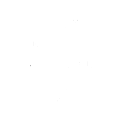 CC1(C2CCC3OC3C2)CCC2OC2C1.O=CO